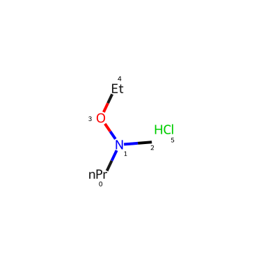 CCCN(C)OCC.Cl